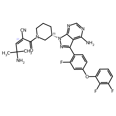 CC(C)(N)/C=C(/C#N)C(=O)N1CCC[C@H](n2nc(-c3ccc(Oc4cccc(F)c4F)cc3F)c3c(N)ncnc32)C1